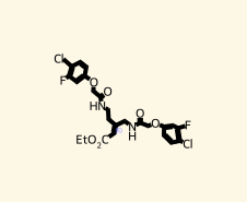 CCOC(=O)/C=C(\CCNC(=O)COc1ccc(Cl)c(F)c1)CNC(=O)COc1ccc(Cl)c(F)c1